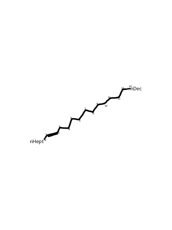 CCCCCCC/C=C/CCCCCCCCCCCCCCCCCCCCC